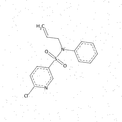 C=CCN(c1ccccc1)S(=O)(=O)c1ccc(Cl)nc1